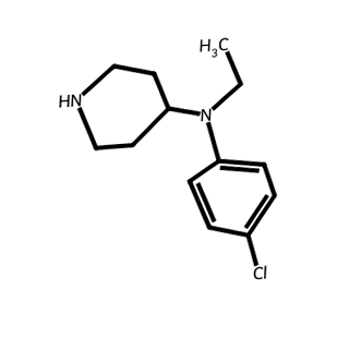 CCN(c1ccc(Cl)cc1)C1CCNCC1